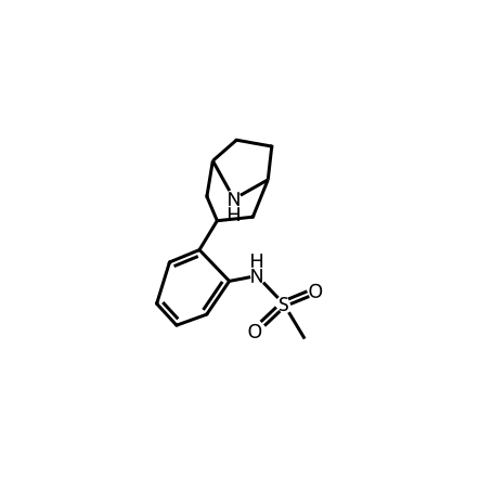 CS(=O)(=O)Nc1ccccc1C1CC2CCC(C1)N2